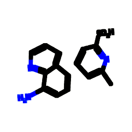 Cc1cccc(S(=O)(=O)O)n1.Nc1cccc2cccnc12